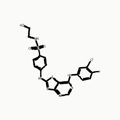 O=S(=O)(NCCO)c1ccc(Nc2nc3ncnc(Nc4ccc(F)c(Cl)c4)c3s2)cc1